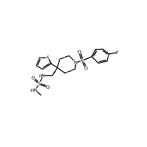 CNS(=O)(=O)NCC1(c2cccs2)CCN(S(=O)(=O)c2ccc(F)cc2)CC1